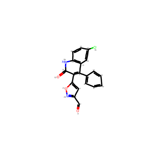 O=Cc1cc(-c2c(-c3ccccc3)c3cc(Cl)ccc3[nH]c2=O)on1